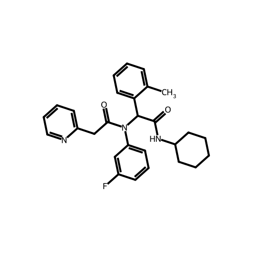 Cc1ccccc1C(C(=O)NC1CCCCC1)N(C(=O)Cc1ccccn1)c1cccc(F)c1